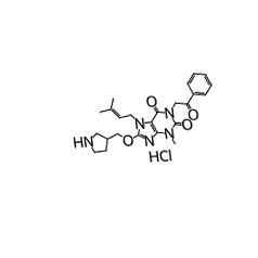 CC(C)=CCn1c(OCC2CCNC2)nc2c1c(=O)n(CC(=O)c1ccccc1)c(=O)n2C.Cl